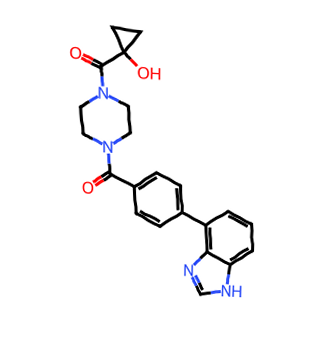 O=C(c1ccc(-c2cccc3[nH]cnc23)cc1)N1CCN(C(=O)C2(O)CC2)CC1